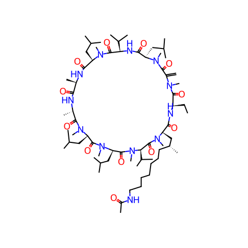 C=C1C(=O)N(C)[C@@H](CC(C)C)C(=O)N[C@H](C(C)C)C(=O)N(C)[C@H](CC(C)C)C(=O)N[C@H](C)C(=O)N[C@@H](C)C(=O)N(C)[C@H](CC(C)C)C(=O)N(C)[C@H](CC(C)C)C(=O)N(C)[C@H](C(C)C)C(=O)N(C)[C@H](C[C@H](C)CCCCCCCNC(C)=O)C(=O)N[C@H](CC)C(=O)N1C